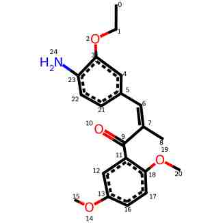 CCOc1cc(C=C(C)C(=O)c2cc(OC)ccc2OC)ccc1N